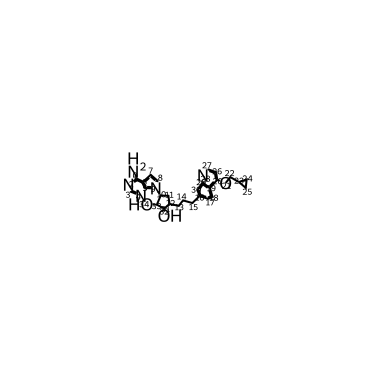 Nc1ncnc2c1ccn2[C@@H]1CC(CCCc2ccc3c(OCC4CC4)ccnc3c2)[C@@H](O)[C@H]1O